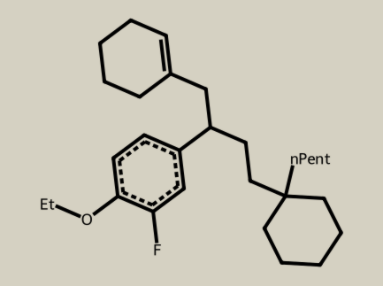 CCCCCC1(CCC(CC2=CCCCC2)c2ccc(OCC)c(F)c2)CCCCC1